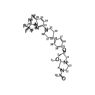 COC[C@H](CN1CCN(C(C)=O)CC1)Oc1ccc(C2CCN(c3ccc4nnc(C(F)(F)F)n4n3)CC2)cc1